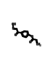 C=CC(=O)Oc1ccc(C(=O)C=NO)cc1